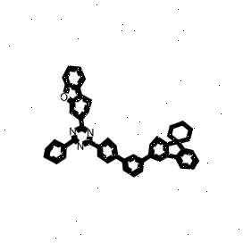 c1ccc(-c2nc(-c3ccc(-c4cccc(-c5ccc6c(c5)-c5ccccc5C65CCCCC5)c4)cc3)nc(-c3ccc4c(c3)oc3ccccc34)n2)cc1